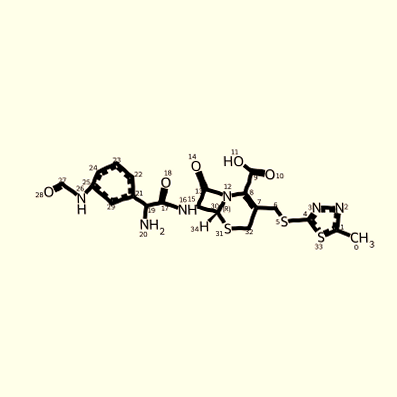 Cc1nnc(SCC2=C(C(=O)O)N3C(=O)C(NC(=O)C(N)c4cccc(NC=O)c4)[C@H]3SC2)s1